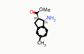 COC(=O)[C@@H]1Cc2cc(C)ccc2[C@H]1N